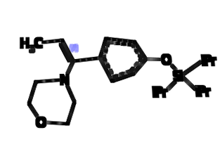 C/C=C(/c1ccc(O[Si](C(C)C)(C(C)C)C(C)C)cc1)N1CCOCC1